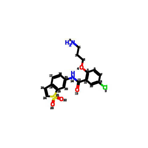 NCCCOc1ccc(Cl)cc1C(=O)Nc1ccc2c(c1)S(=O)(=O)C=C2